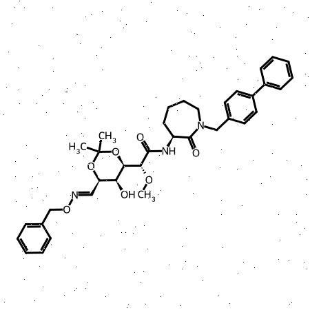 CO[C@@H](C(=O)N[C@H]1CCCCN(Cc2ccc(-c3ccccc3)cc2)C1=O)[C@@H]1OC(C)(C)O[C@H](/C=N/OCc2ccccc2)[C@@H]1O